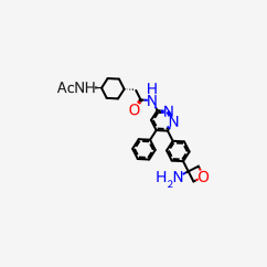 CC(=O)N[C@H]1CC[C@H](CC(=O)Nc2cc(-c3ccccc3)c(-c3ccc(C4(N)COC4)cc3)nn2)CC1